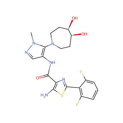 Cn1ncc(NC(=O)c2nc(-c3c(F)cccc3F)sc2N)c1N1CC[C@@H](O)[C@@H](O)CC1